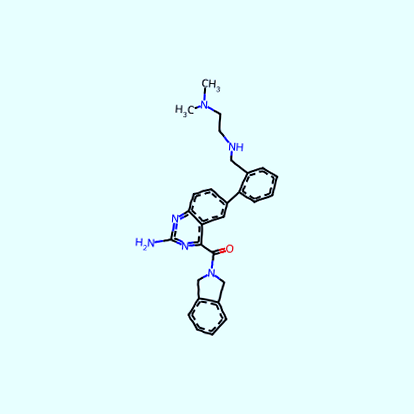 CN(C)CCNCc1ccccc1-c1ccc2nc(N)nc(C(=O)N3Cc4ccccc4C3)c2c1